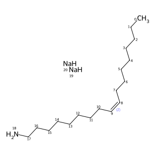 CCCCCCCC/C=C\CCCCCCCCN.[NaH].[NaH]